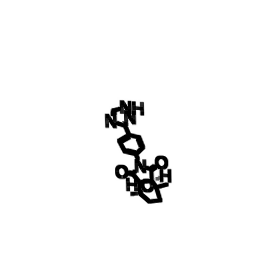 CC12CC[C@@](C)(O1)[C@H]1C(=O)N(c3ccc(-c4nc[nH]n4)cc3)C(=O)[C@H]12